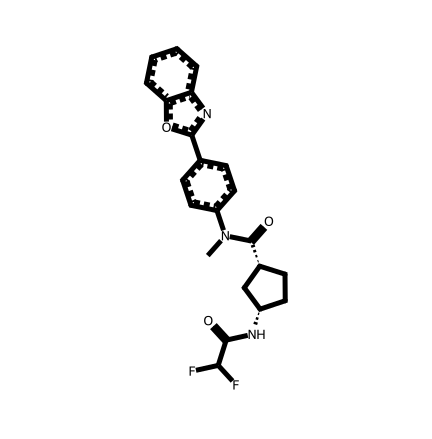 CN(C(=O)[C@@H]1CC[C@H](NC(=O)C(F)F)C1)c1ccc(-c2nc3ccccc3o2)cc1